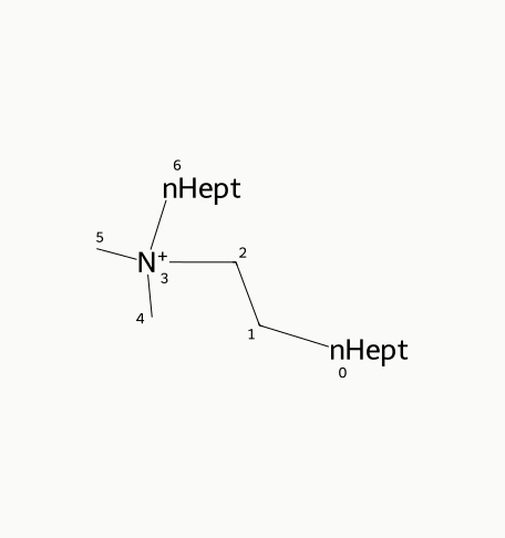 CCCCCCCCC[N+](C)(C)CCCCCCC